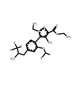 CCOC(=O)c1nn(CC)c(-c2ccc(CC(C)C(F)(F)F)cc2OC(F)F)c1C